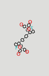 COc1ccc(C2(c3ccc(OC)cc3)C=Cc3c(-c4ccc(-c5ccc(-c6cc7cccc(F)c7c7c6C=CC(c6ccc(OC)cc6)(c6ccc(OC)cc6)O7)cc5)cc4)cc4cccc(F)c4c3O2)cc1